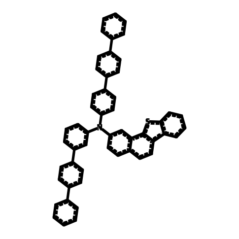 c1ccc(-c2ccc(-c3ccc(N(c4cccc(-c5ccc(-c6ccccc6)cc5)c4)c4ccc5ccc6c7ccccc7sc6c5c4)cc3)cc2)cc1